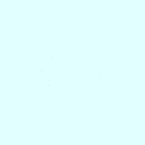 Nc1cc(Oc2ccc3[nH]ccc3c2)ncn1